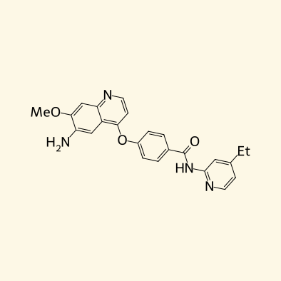 CCc1ccnc(NC(=O)c2ccc(Oc3ccnc4cc(OC)c(N)cc34)cc2)c1